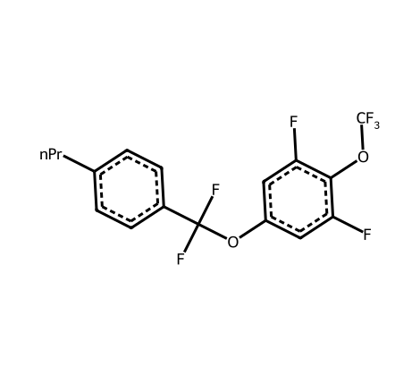 CCCc1ccc(C(F)(F)Oc2cc(F)c(OC(F)(F)F)c(F)c2)cc1